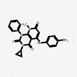 Bc1ccc(Nc2cc(=O)n(C)c3c2c(=O)n(C2CC2)c(=O)n3-c2ccccc2)cc1